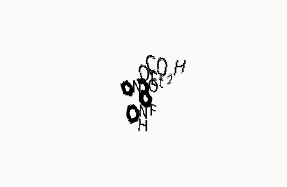 CC[C@H](Oc1cn(C2CCCC2)c2cc(NC3CCCCC3)c(F)cc2c1=O)C(=O)O